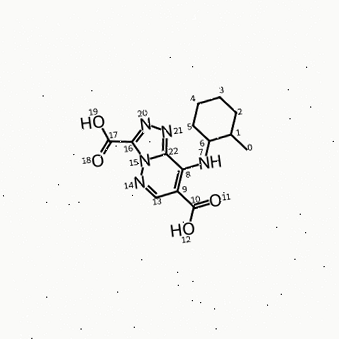 CC1CCCCC1Nc1c(C(=O)O)cnn2c(C(=O)O)nnc12